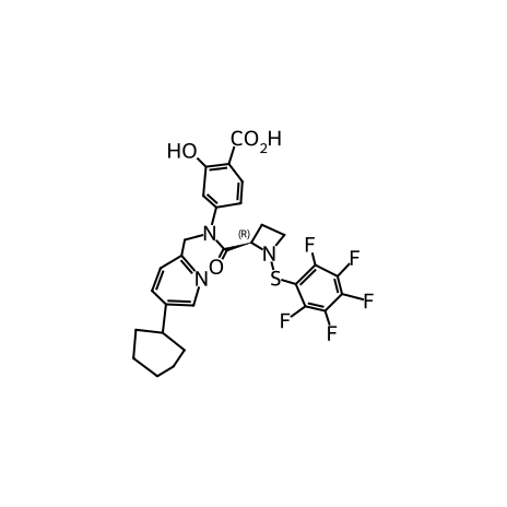 O=C(O)c1ccc(N(Cc2ccc(C3CCCCC3)cn2)C(=O)[C@H]2CCN2Sc2c(F)c(F)c(F)c(F)c2F)cc1O